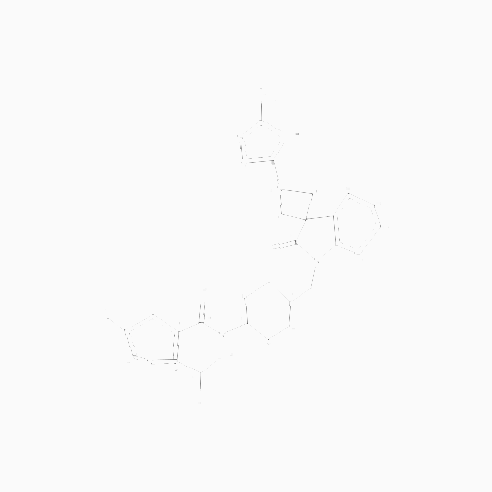 Cc1nnc(N2CC3(C2)C(=O)N(CC2CCC(NC(=O)c4cc(Cl)cnc4C(F)F)CC2)c2ccccc23)o1